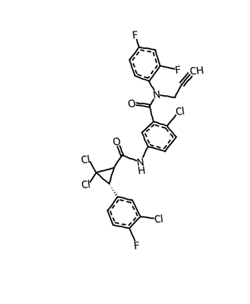 C#CCN(C(=O)c1cc(NC(=O)C2[C@H](c3ccc(F)c(Cl)c3)C2(Cl)Cl)ccc1Cl)c1ccc(F)cc1F